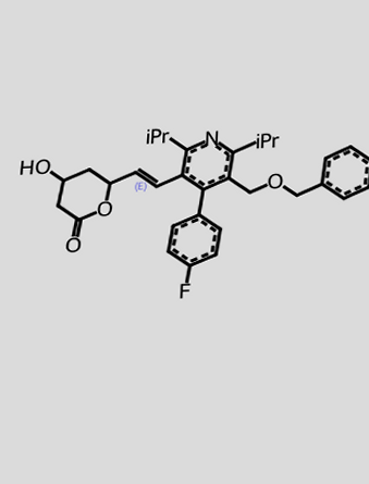 CC(C)c1nc(C(C)C)c(COCc2ccccc2)c(-c2ccc(F)cc2)c1/C=C/C1CC(O)CC(=O)O1